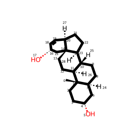 C[C@]12CC[C@@H](O)C[C@@H]1CC[C@@H]1[C@@H]2CC[C@@]23C[C@H](O)C=C[C@H]2CC[C@@H]13